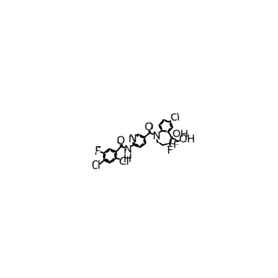 O=C(Nc1ccc(C(=O)N2CCC(F)(F)[C@](O)(CO)c3cc(Cl)ccc32)cn1)c1cc(F)c(Cl)cc1Cl